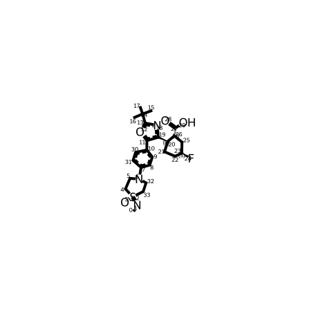 CN=S1(=O)CCN(c2ccc(-c3oc(C(C)(C)C)nc3[C@@H]3CC[C@H](F)C[C@H]3C(=O)O)cc2)CC1